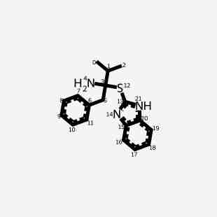 CC(C)C(N)(Cc1ccccc1)Sc1nc2ccccc2[nH]1